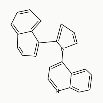 c1ccc2c(-c3cccn3-c3ccnc4ccccc34)cccc2c1